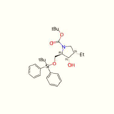 CC[C@H]1CN(C(=O)OC(C)(C)C)[C@H](CO[Si](c2ccccc2)(c2ccccc2)C(C)(C)C)[C@H]1O